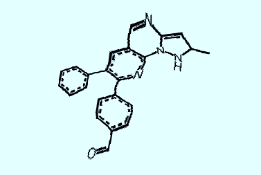 CC1C=C2N=Cc3cc(-c4ccccc4)c(-c4ccc(C=O)cc4)nc3N2N1